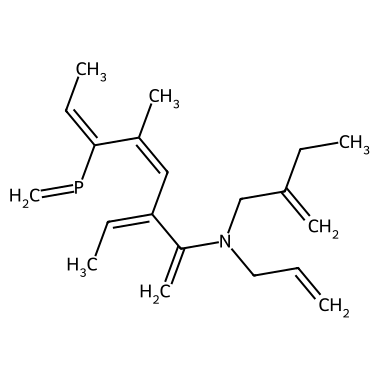 C=CCN(CC(=C)CC)C(=C)C(=CC)/C=C(C)\C(=C/C)P=C